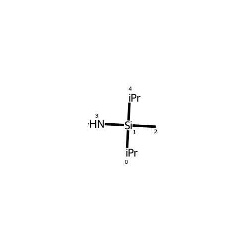 CC(C)[Si](C)([NH])C(C)C